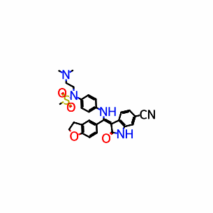 CN(C)CCN(c1ccc(NC(=C2C(=O)Nc3cc(C#N)ccc32)c2ccc3c(c2)CCO3)cc1)S(C)(=O)=O